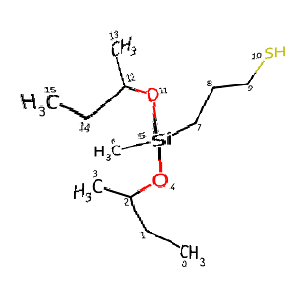 CCC(C)O[Si](C)(CCCS)OC(C)CC